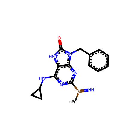 CCCS(=N)c1nc(NC2CC2)c2[nH]c(=O)n(Cc3ccccc3)c2n1